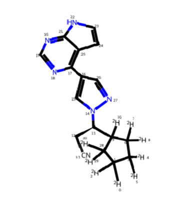 [2H]C1([2H])C([2H])([2H])C([2H])([2H])C([2H])([C@@H](CC#N)n2cc(-c3ncnc4[nH]ccc34)cn2)C1([2H])[2H]